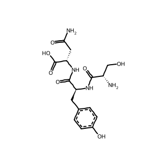 NC(=O)C[C@H](NC(=O)[C@H](Cc1ccc(O)cc1)NC(=O)[C@@H](N)CO)C(=O)O